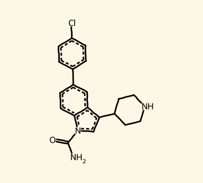 NC(=O)n1cc(C2CCNCC2)c2cc(-c3ccc(Cl)cc3)ccc21